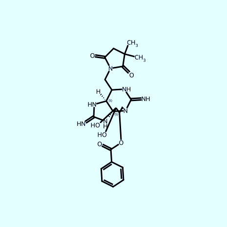 CC1(C)CC(=O)N(CC2NC(=N)N3CC(OC(=O)c4ccccc4)C(O)(O)[C@@]34NC(=N)N[C@@H]24)C1=O